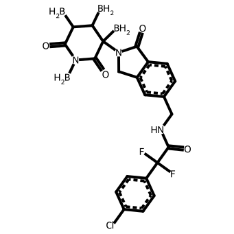 BC1C(=O)N(B)C(=O)C(B)(N2Cc3cc(CNC(=O)C(F)(F)c4ccc(Cl)cc4)ccc3C2=O)C1B